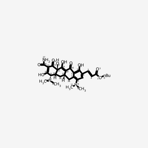 CCCCOC(=O)/C=C/c1cc(N(C)C)c2c(c1O)C(=O)C1=C(O)[C@@]3(O)C(=O)C(C(N)=O)=C(O)[C@@H](N(C)C)[C@H]3C[C@H]1C2